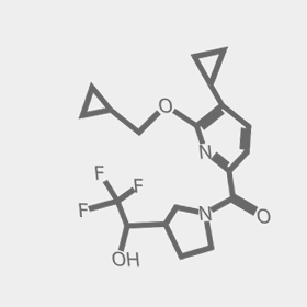 O=C(c1ccc(C2CC2)c(OCC2CC2)n1)N1CCC(C(O)C(F)(F)F)C1